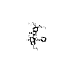 COc1cc2nc(-c3c(NCc4ccccn4)c4nn(C)cc4[nH]c3=O)[nH]c2cc1OC